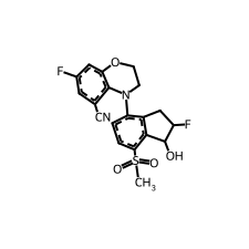 CS(=O)(=O)c1ccc(N2CCOc3cc(F)cc(C#N)c32)c2c1C(O)C(F)C2